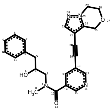 CN(CC(O)Cc1ccccc1)C(=O)c1cncc(C#Cc2cnn3c2COCC3)c1